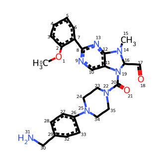 COc1ccccc1-c1ncc2c(n1)N(C)C(C=O)N2C(=O)N1CCN(c2ccc(CN)cc2)CC1